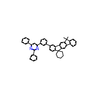 CC1(C)c2ccccc2-c2cc3c(cc21)-c1cc(-c2cccc(-c4cc(-c5ccccc5)nc(-c5ccccc5)n4)c2)ccc1C31CCCCC1